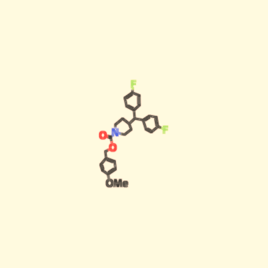 COc1ccc(COC(=O)N2CCC(C(c3ccc(F)cc3)c3ccc(F)cc3)CC2)cc1